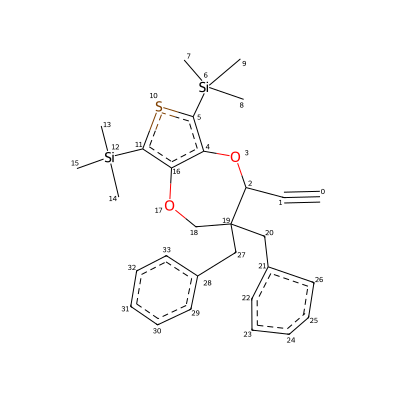 C#CC1Oc2c([Si](C)(C)C)sc([Si](C)(C)C)c2OCC1(Cc1ccccc1)Cc1ccccc1